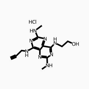 C#CCNc1nc(NC)nc2c(NCCO)nc(NC)nc12.Cl